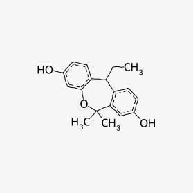 CCC1c2ccc(O)cc2OC(C)(C)c2cc(O)ccc21